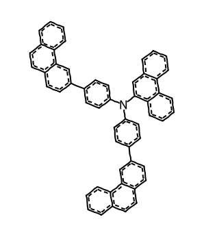 c1ccc2c(c1)ccc1ccc(-c3ccc(N(c4ccc(-c5ccc6ccc7ccccc7c6c5)cc4)c4cc5ccccc5c5ccccc45)cc3)cc12